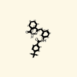 CC(C)(C)c1ccc(C(=O)Nc2cccc(Cc3n[nH]c(=O)c4c3CCCC4)c2)cc1